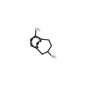 Cc1ccc2cc1CCC(C)C2